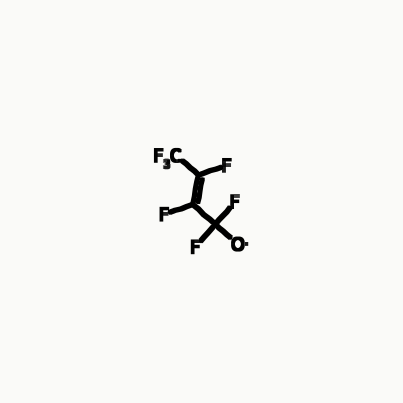 [O]C(F)(F)C(F)=C(F)C(F)(F)F